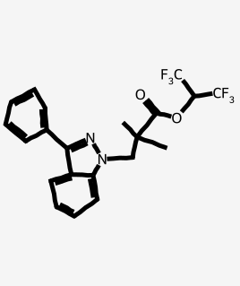 CC(C)(Cn1nc(-c2ccccc2)c2ccccc21)C(=O)OC(C(F)(F)F)C(F)(F)F